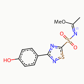 CO/C(C)=N\S(=O)(=O)c1nc(-c2ccc(O)cc2)ns1